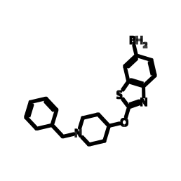 Bc1ccc2nc(OC3CCN(CC4C=CC=CC4)CC3)sc2c1